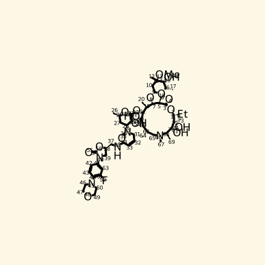 CC[C@H]1OC(=O)[C@H](C)[C@@H](O[C@@H]2C[C@@](C)(OC)[C@@H](O)[C@H](C)O2)[C@H](C)[C@@H](O[C@@H]2O[C@H](C)C[C@H](N(C)C/C=C\C(=O)NC[C@H]3CN(c4ccc(N5CCOCC5)c(F)c4)C(=O)O3)[C@H]2O)[C@](C)(O)C[C@@H](C)CN(C)[C@H](C)[C@@H](O)[C@]1(C)O